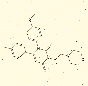 CSc1ccc(-n2c(-c3ccc(C)cc3)cc(=O)n(CCN3CCOCC3)c2=O)cc1